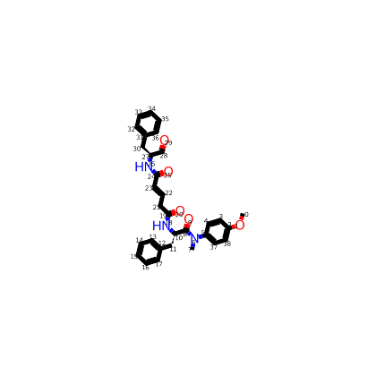 COc1ccc(N(C)C(=O)[C@H](Cc2ccccc2)NC(=O)C/C=C/C(=O)N[C@H](C=O)Cc2ccccc2)cc1